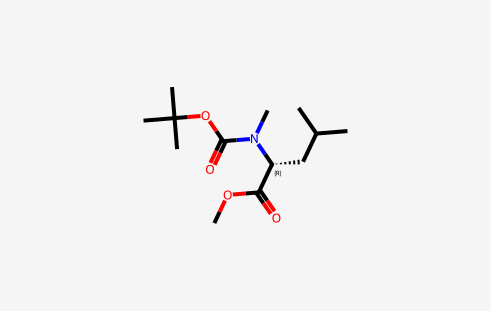 COC(=O)[C@@H](CC(C)C)N(C)C(=O)OC(C)(C)C